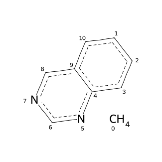 C.c1ccc2ncncc2c1